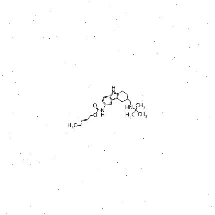 CCC=CCOC(=O)Nc1ccc2[nH]c3c(c2c1)CC(CNC(C)(C)C)CC3